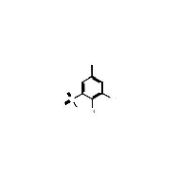 Cc1cc(C(F)(F)F)c(N)c(S(=O)(=O)Cl)c1